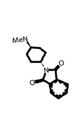 CN[C@H]1CC[C@H](N2C(=O)c3ccccc3C2=O)CC1